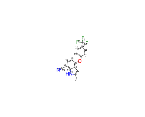 Cc1cc2c(Oc3ccc(C(F)(F)F)cc3)ccc(C#N)c2[nH]1